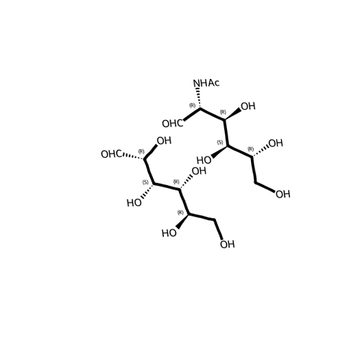 CC(=O)N[C@@H](C=O)[C@@H](O)[C@H](O)[C@H](O)CO.O=C[C@H](O)[C@@H](O)[C@H](O)[C@H](O)CO